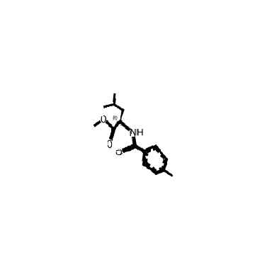 COC(=O)[C@@H](CC(C)C)NC(=O)c1ccc(C)cc1